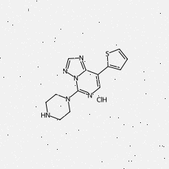 Cl.c1csc(-c2cnc(N3CCNCC3)n3ncnc23)c1